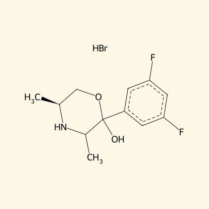 Br.CC1N[C@@H](C)COC1(O)c1cc(F)cc(F)c1